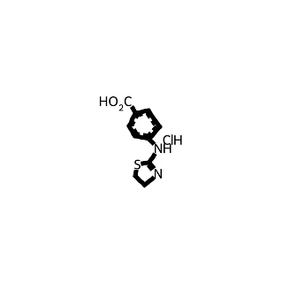 Cl.O=C(O)c1ccc(NC2=NCCS2)cc1